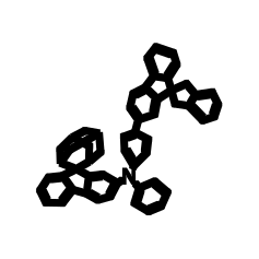 c1ccc(N(c2ccc(-c3ccc4c(c3)C3(Cc5ccccc5C3)c3ccccc3-4)cc2)c2ccc3c(c2)C2(c4ccccc4-3)C3CC4CC(C3)CC2C4)cc1